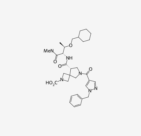 CNC(=O)[C@@H](NC(=O)[C@@H]1CN(C(=O)c2cnn(Cc3ccccc3)c2)CC12CN(C(=O)O)C2)[C@@H](C)OCC1CCCCC1